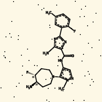 Cc1ccc(F)c(-c2nc(C(=O)Nc3cnn(C)c3N3CC[C@@H](N)[C@H](F)CC3)c(N)s2)c1